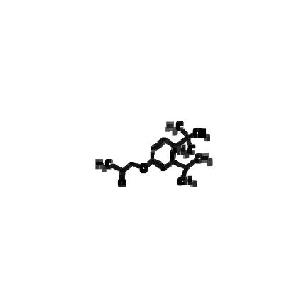 CC(=O)COc1ccc(C(C)(C)C)c(C(C)C)c1